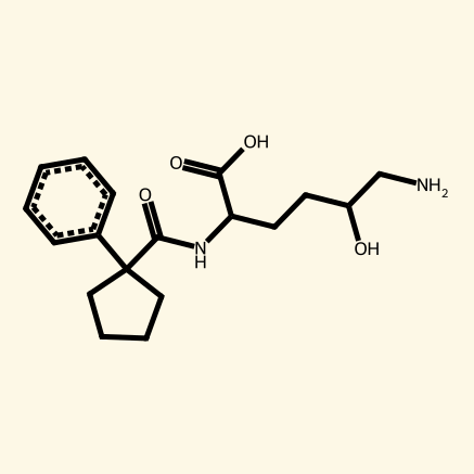 NCC(O)CCC(NC(=O)C1(c2ccccc2)CCCC1)C(=O)O